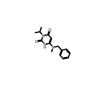 CC(C)n1c(=O)cc(N(C)Cc2ccccc2)[nH]c1=O